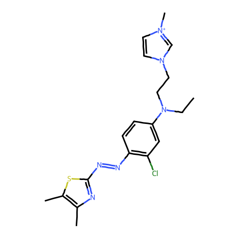 CCN(CCn1cc[n+](C)c1)c1ccc(/N=N/c2nc(C)c(C)s2)c(Cl)c1